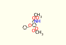 CC(=O)Oc1cc(OCc2ccccc2)c2cc(OC(C)=O)[nH]c2c1